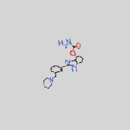 NC(=O)Oc1cccc2[nH]c(-c3cccc(CN4CCCCC4)c3)nc12